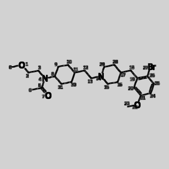 COCCN(C(C)=O)C1CCC(CCN2CCC(Cc3cc(OC)ccc3Br)CC2)CC1